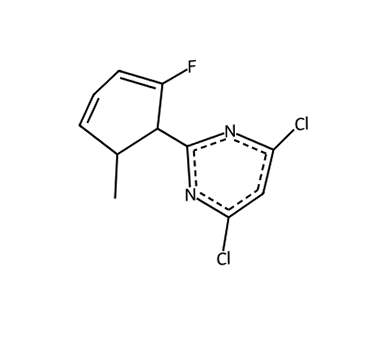 CC1C=CC=C(F)C1c1nc(Cl)cc(Cl)n1